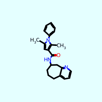 Cc1cc(C(=O)NC2CCCc3cccnc3C2)c(C)n1-c1ccccc1